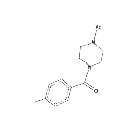 CC(=O)N1CCN(C(=O)c2ccc(C)cc2)CC1